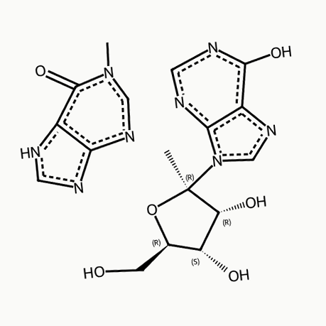 C[C@@]1(n2cnc3c(O)ncnc32)O[C@H](CO)[C@@H](O)[C@H]1O.Cn1cnc2nc[nH]c2c1=O